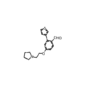 O=Cc1ccc(OCCN2CCCC2)cc1-c1ccsc1